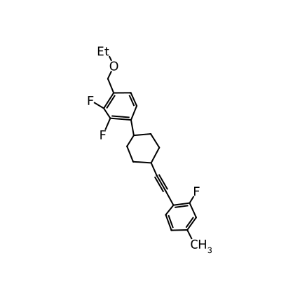 CCOCc1ccc(C2CCC(C#Cc3ccc(C)cc3F)CC2)c(F)c1F